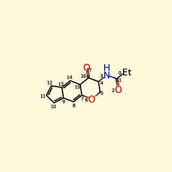 CCC(=O)NC1COC2=CC3=CC=CC3=CC2C1=O